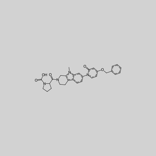 Cn1c2c(c3ccc(-n4ccc(OCc5ccccc5)cc4=O)cc31)CCN(C(=O)C1CCCN1C(=O)O)C2